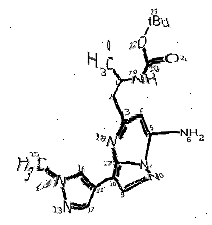 CC(Cc1cc(N)n2ncc(-c3cnn(C)c3)c2n1)NC(=O)OC(C)(C)C